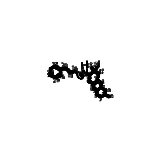 C=C1C=Cc2cc3c(cc2C1)CC(C)(C)C(NOC/C=C/C1=CCCC=C1)C3